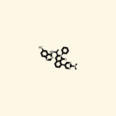 CC(Nc1ncnc2ccc(C#N)cc12)c1cc2cccc(-c3cnc(N(C)C)nc3)c2c(=O)n1-c1ccccc1